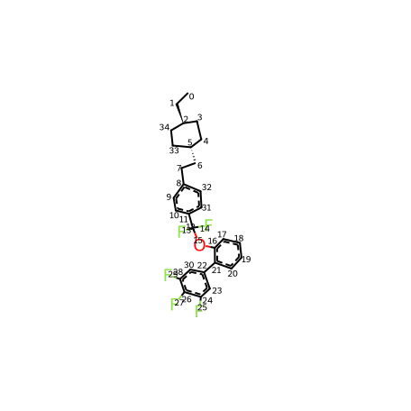 CC[C@H]1CC[C@H](CCc2ccc(C(F)(F)Oc3ccccc3-c3cc(F)c(F)c(F)c3)cc2)CC1